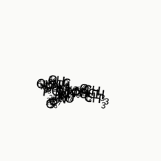 CCc1c(N2CCN(C(=O)OC(C)(C)C)CC2)c(=O)n2nc(C3=CCOCC3)nc2n1CC(=O)Nc1cc(F)c(C=O)cc1C